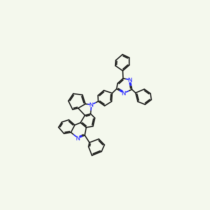 c1ccc(-c2cc(-c3ccc(-n4c5ccccc5c5c6c(ccc54)c(-c4ccccc4)nc4ccccc46)cc3)nc(-c3ccccc3)n2)cc1